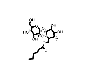 CCCCCC(=O)OCC1O[C@H](O[C@H]2OC(CO)[C@@H](O)C(O)C2O)C(O)C(O)[C@@H]1O